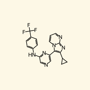 FC(F)(F)c1ccc(Nc2cncc(-c3c(C4CC4)nc4ncccn34)n2)cc1